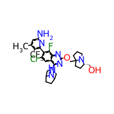 Cc1cc(N)nc(-c2c(Cl)cc3c(N4CC5CCC(C4)N5)nc(OCC45CCCN4[C@H](CO)CC5)nc3c2F)c1C(F)(F)F